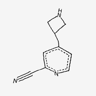 N#Cc1cc(C2CNC2)ccn1